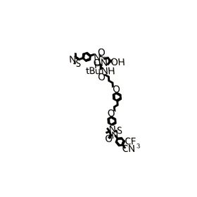 Cc1ncsc1-c1ccc(CNC(=O)[C@@H]2C[C@@H](O)CN2C(=O)C(NC(=O)CCCCOc2ccc(CCCOc3ccc(N4C(=S)N(c5ccc(C#N)c(C(F)(F)F)c5)C(=O)C4(C)C)cc3)cc2)C(C)(C)C)cc1